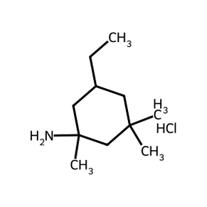 CCC1CC(C)(C)CC(C)(N)C1.Cl